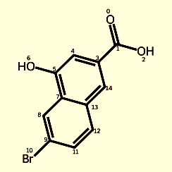 O=C(O)c1cc(O)c2cc(Br)ccc2c1